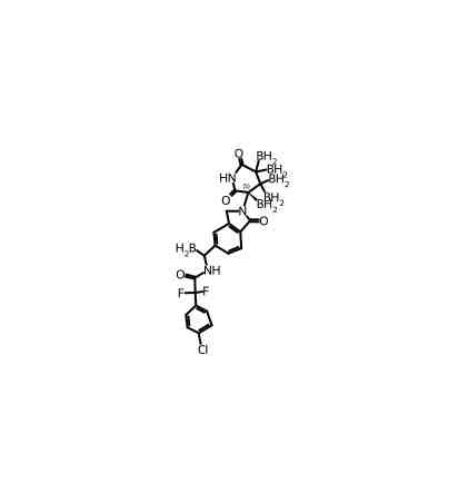 BC(NC(=O)C(F)(F)c1ccc(Cl)cc1)c1ccc2c(c1)CN([C@]1(B)C(=O)NC(=O)C(B)(B)C1(B)B)C2=O